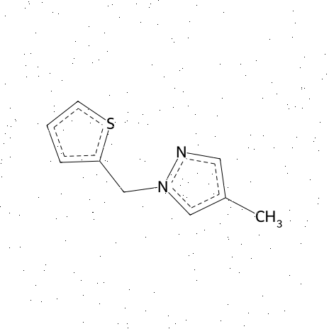 Cc1cnn(Cc2cccs2)c1